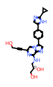 OCC#Cc1cn2c(-c3ccc(-c4cnc(C5CC5)[nH]4)cc3)cnc2c(NC[C@H](O)CO)n1